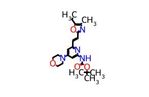 CCc1oc(/C=C/c2cc(N3CCOCC3)cc(NC(=O)OC(C)(C)C)n2)nc1C